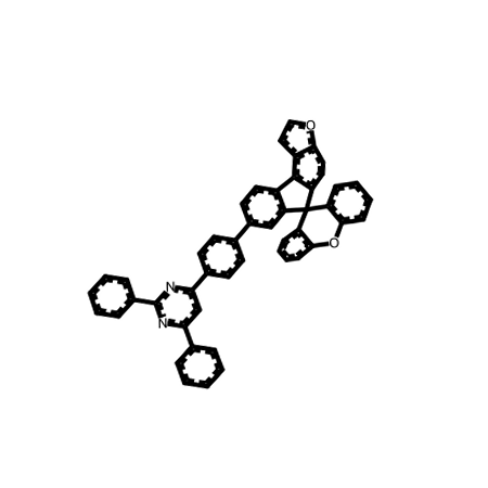 c1ccc(-c2cc(-c3ccc(-c4ccc5c(c4)C4(c6ccccc6Oc6ccccc64)c4ccc6occc6c4-5)cc3)nc(-c3ccccc3)n2)cc1